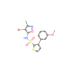 COc1cccc(-c2ccsc2S(=O)(=O)Nc2onc(C)c2Br)c1